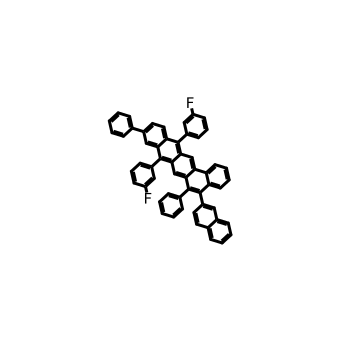 Fc1cccc(-c2c3cc(-c4ccccc4)ccc3c(-c3cccc(F)c3)c3cc4c(cc23)c(-c2ccccc2)c(-c2ccc3ccccc3c2)c2ccccc24)c1